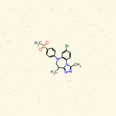 Cc1nnc2n1-c1ccc(Br)cc1N(c1ccc(S(C)(=O)=O)cc1)CC2C